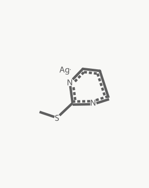 CSc1ncccn1.[Ag]